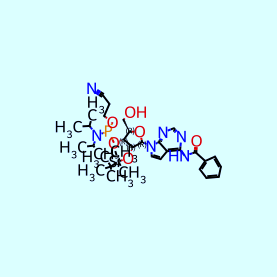 CC(C)N(C(C)C)P(OCCC#N)O[C@H]1[C@@H](O[Si](C)(C)C(C)(C)C)[C@H](n2ccc3c(NC(=O)c4ccccc4)ncnc32)O[C@@H]1CO